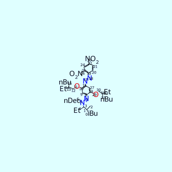 [CH2]C(CC)C(C)C(CC)/[N+](CCCCCCCCCC)=N/c1cc(OCC(CC)CCCC)c(/N=N/c2ccc([N+](=O)[O-])cc2[N+](=O)[O-])cc1OCC(CC)CCCC